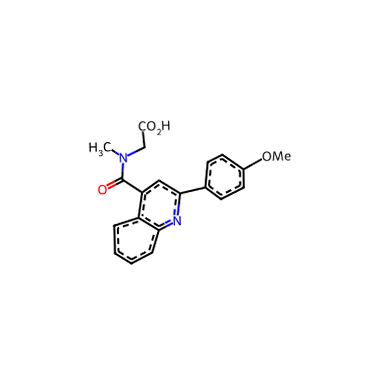 COc1ccc(-c2cc(C(=O)N(C)CC(=O)O)c3ccccc3n2)cc1